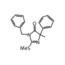 CSC1=NC(C)(c2ccccc2)C(=O)N1Cc1ccccc1